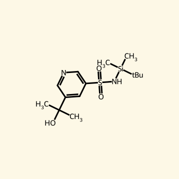 CC(C)(O)c1cncc(S(=O)(=O)N[Si](C)(C)C(C)(C)C)c1